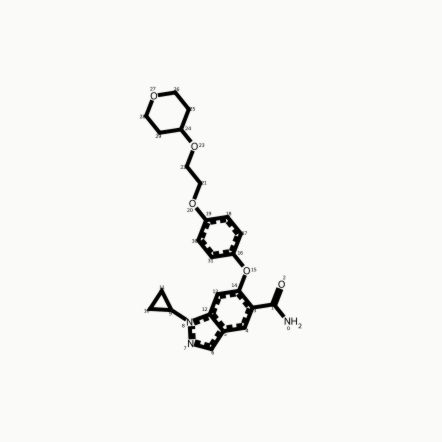 NC(=O)c1cc2cnn(C3CC3)c2cc1Oc1ccc(OCCOC2CCOCC2)cc1